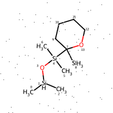 C[SiH](C)O[Si](C)(C)C1([SiH3])CCCCO1